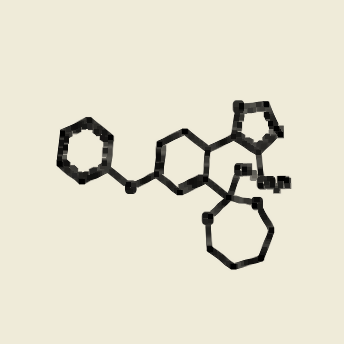 CCOC(=O)c1ncoc1C1CC=C(Oc2ccccc2)C=C1C1(C)OCCCCO1